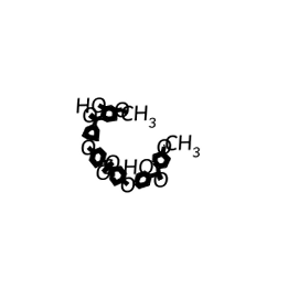 COc1ccc(C(=O)c2ccc(Oc3ccc(S(=O)(=O)c4ccc(Oc5ccc(C(=O)c6ccc(OC)cc6O)cc5)cc4)cc3)cc2)c(O)c1